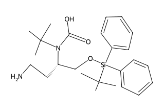 CC(C)(C)N(C(=O)O)[C@@H](CCN)CO[Si](c1ccccc1)(c1ccccc1)C(C)(C)C